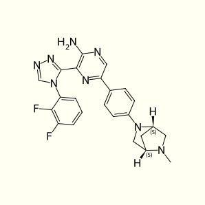 CN1C[C@@H]2C[C@H]1CN2c1ccc(-c2cnc(N)c(-c3nncn3-c3cccc(F)c3F)n2)cc1